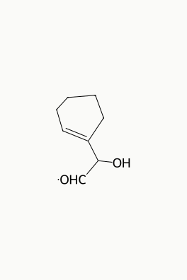 O=[C]C(O)C1=CCCCC1